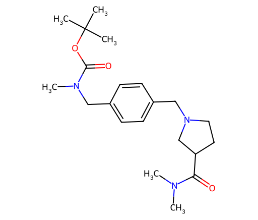 CN(C)C(=O)C1CCN(Cc2ccc(CN(C)C(=O)OC(C)(C)C)cc2)C1